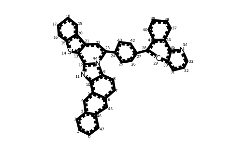 c1ccc2cc3c(ccc4c3nc3c5sc6ccccc6c5cc(-c5ccc(-c6cc7cccnc7c7ccccc67)cc5)n43)cc2c1